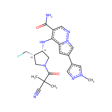 Cn1cc(-c2cc3c(N[C@@H]4CN(C(=O)C(C)(C)C#N)C[C@@H]4CF)c(C(N)=O)cnn3c2)cn1